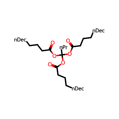 CCCCCCCCCCCCCC(=O)OC(CCC)(OC(=O)CCCCCCCCCCCCC)OC(=O)CCCCCCCCCCCCC